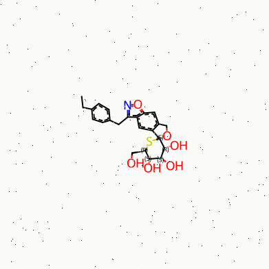 CCc1ccc(Cc2noc3cc4c(cc23)[C@]2(OC4)S[C@H](CO)[C@@H](O)[C@H](O)[C@H]2O)cc1